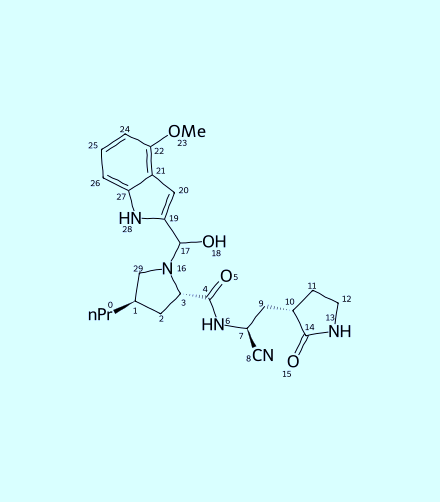 CCC[C@@H]1C[C@@H](C(=O)N[C@H](C#N)C[C@@H]2CCNC2=O)N(C(O)c2cc3c(OC)cccc3[nH]2)C1